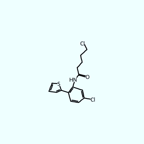 O=C(CCCCCl)Nc1cc(Cl)ccc1-c1cccs1